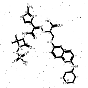 CC1(C)[C@H](NC(=O)/C(=N\OC(COc2ccc3nc(NC4CCNCC4)ccc3c2)C(=O)O)c2csc(N)n2)C(=O)N1OS(=O)(=O)O